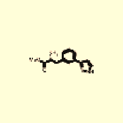 COC(=O)[C@H](N)Cc1cccc(-c2cc[nH]n2)c1